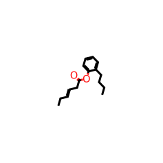 CCC=CCC(=O)Oc1ccccc1CCCC